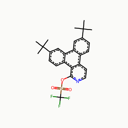 CC(C)(C)c1ccc2c(c1)c1cc(C(C)(C)C)ccc1c1c(OS(=O)(=O)C(F)(F)F)nccc21